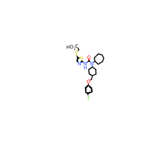 O=C(O)CSc1cnc(NC(=O)N(C2CCCCCC2)C2CCC(COc3ccc(F)cc3)CC2)s1